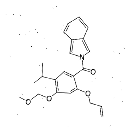 C=CCOc1cc(OCOC)c(C(C)C)cc1C(=O)n1cc2ccccc2c1